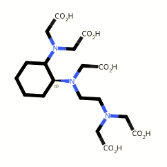 O=C(O)CN(CCN(CC(=O)O)[C@H]1CCCCC1N(CC(=O)O)CC(=O)O)CC(=O)O